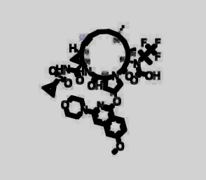 COc1ccc2c(O[C@@H]3C[C@H]4C(=O)N[C@]5(C(=O)NS(=O)(=O)C6CC6)C[C@H]5/C=C\CC[C@H](C)C[C@@H](C)[C@H](N(C(=O)O)C(C)(C)C(F)(F)F)C(=O)N4C3)nc(N3CCOCC3)cc2c1